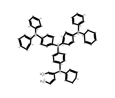 C/C=C\C(=C/C)N(C1=CCCC=C1)c1ccc(N(c2ccc(N(c3ccccc3)c3ccccc3)cc2)c2ccc(N(c3ccccc3)C3C=CC=CC3)cc2)cc1